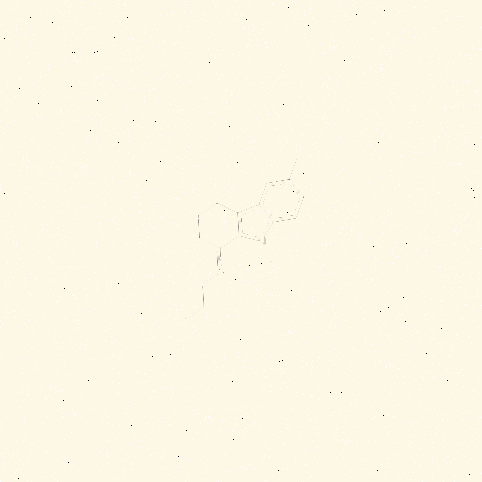 Cc1ccc2[nH]c3c(c2c1)CCC/C3=N\CCCl.Cl